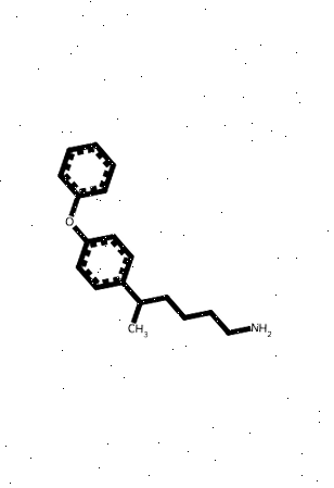 CC(CCCCN)c1ccc(Oc2ccccc2)cc1